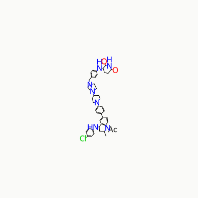 CC(=O)N1c2ccc(-c3ccc(N4CCC(N5CCN(Cc6ccc(NC7CCC(=O)NC7=O)cc6)CC5)CC4)cc3)cc2C(Nc2ccc(Cl)cc2)CC1C